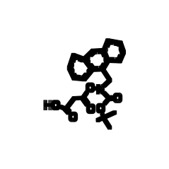 CC(C)(C)OC(=O)N(Cc1c2ccccc2cc2ccccc12)OC(=O)CC(=O)O